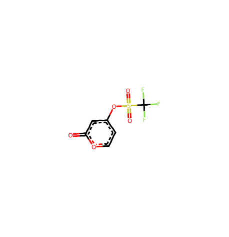 O=c1cc(OS(=O)(=O)C(F)(F)F)cco1